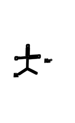 CCC(C)S(=O)(=O)[O-].[Na+]